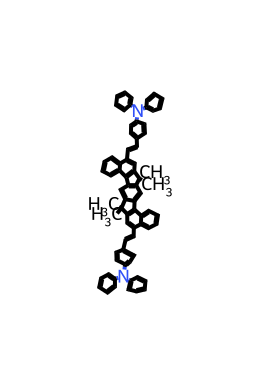 CC1(C)c2cc3c(cc2-c2c1cc(/C=C/c1ccc(N(c4ccccc4)c4ccccc4)cc1)c1ccccc21)C(C)(C)c1cc(/C=C/c2ccc(N(c4ccccc4)c4ccccc4)cc2)c2ccccc2c1-3